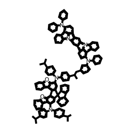 CC(C)c1ccc(N(c2ccc(C(C)Cc3cccc(N(c4ccccc4)c4ccc5c6cc7c(cc6n6c8ccccc8c4c56)c4ccc(N(c5ccccc5)c5ccccc5)c5c6ccccc6n7c45)c3)cc2)c2cc3c(c4c2oc2ccccc24)-c2c(cc(N(c4ccc(C(C)C)cc4)c4ccc(C(C)C)cc4)c4c2oc2ccccc24)C32c3ccccc3-c3ccccc32)cc1